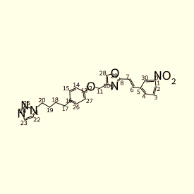 O=[N+]([O-])c1cccc(C=Cc2nc(COc3ccc(CCCCn4ccnn4)cc3)co2)c1